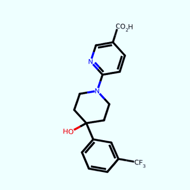 O=C(O)c1ccc(N2CCC(O)(c3cccc(C(F)(F)F)c3)CC2)nc1